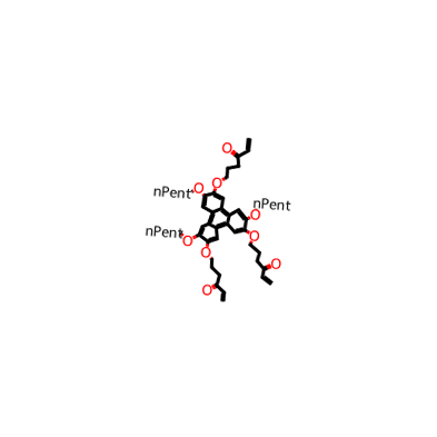 C=CC(=O)CCCOc1cc2c(cc1OCCCCC)c1cc(OCCCCC)c(OCCCC(=O)C=C)cc1c1cc(OCCCC(=O)C=C)c(OCCCCC)cc21